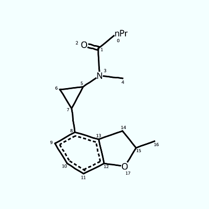 CCCC(=O)N(C)C1CC1c1cccc2c1CC(C)O2